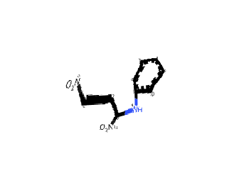 O=[N+]([O-])C=CC(Nc1ccccc1)[N+](=O)[O-]